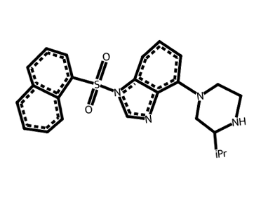 CC(C)C1CN(c2cccc3c2ncn3S(=O)(=O)c2cccc3ccccc23)CCN1